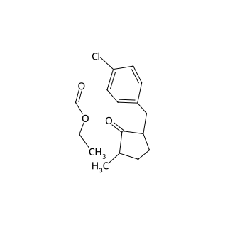 CC1CCC(Cc2ccc(Cl)cc2)C1=O.CCOC=O